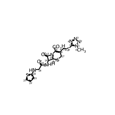 Cn1nnnc1SCC1=C(C(=O)O)N2C(=O)C(NC(=O)CNc3cccs3)[C@@H]2SC1